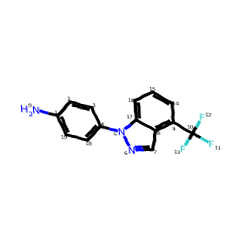 Nc1ccc(-n2ncc3c(C(F)(F)F)cccc32)cc1